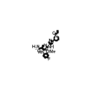 C=CC(=O)N1CCCC(n2cc(Nc3ncc(C(N)=O)c(Nc4ccc(F)cc4OC)n3)cn2)C1